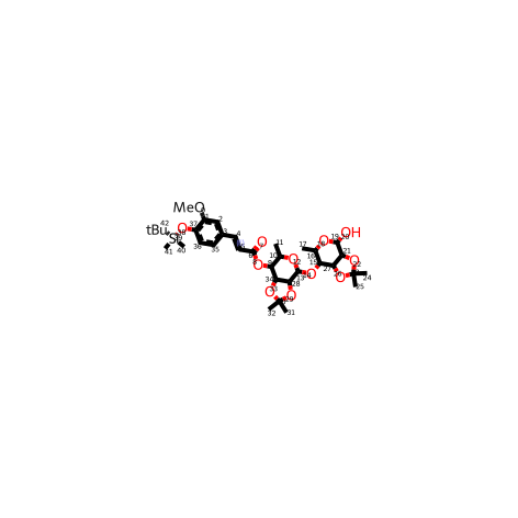 COc1cc(/C=C/C(=O)OC2C(C)OC(OC3C(C)OC(O)C4OC(C)(C)OC34)C3OC(C)(C)OC23)ccc1O[Si](C)(C)C(C)(C)C